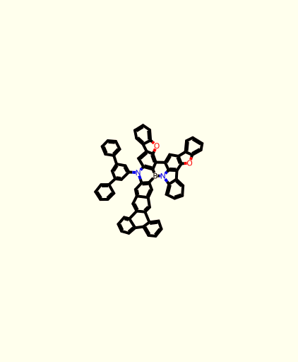 c1ccc(-c2cc(-c3ccccc3)cc(N3c4cc5cc6c7ccccc7c7ccccc7c6cc5cc4B4c5c3cc3c(oc6ccccc63)c5-c3cc5c6ccccc6oc5c5c6ccccc6n4c35)c2)cc1